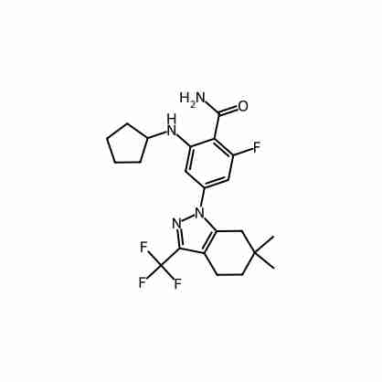 CC1(C)CCc2c(C(F)(F)F)nn(-c3cc(F)c(C(N)=O)c(NC4CCCC4)c3)c2C1